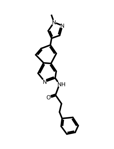 Cn1cc(-c2ccc3cnc(NC(=O)CCc4ccccc4)cc3c2)cn1